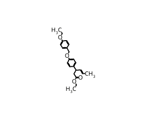 CC=CC(CC(=O)OCC)c1ccc(OCc2ccc(OCC)cc2)cc1